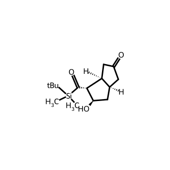 CC(C)(C)[Si](C)(C)C(=O)[C@@H]1[C@H]2CC(=O)C[C@H]2C[C@H]1O